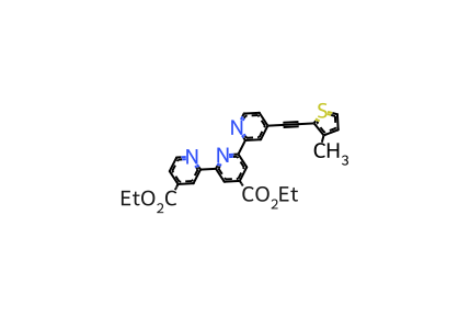 CCOC(=O)c1ccnc(-c2cc(C(=O)OCC)cc(-c3cc(C#Cc4sccc4C)ccn3)n2)c1